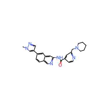 Cn1cc(-c2ccc3cnc(NC(=O)c4ccnc(CN5CCCCC5)c4)cc3c2)cn1